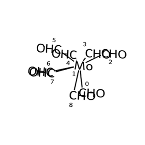 O=[CH][Mo]([CH]=O)([CH]=O)([CH]=O)([CH]=O)([CH]=O)([CH]=O)[CH]=O